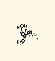 CCN1CCC(n2cc(-c3nc(N)ncc3F)c3cc(C#CC(C)(O)C4CC4)ncc32)C1